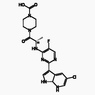 C[C@H](Nc1nc(C2=CNC3NC=C(Cl)C=C23)ncc1F)C(=O)N1CCN(C(=O)O)CC1